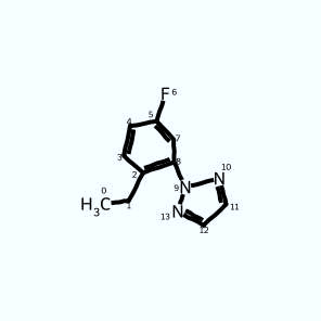 CCc1ccc(F)cc1-n1nccn1